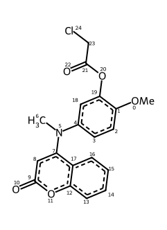 COc1ccc(N(C)c2cc(=O)oc3ccccc23)cc1OC(=O)CCl